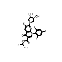 O=C(NC(C(F)(F)F)C(F)(F)F)c1cn(-c2c(F)cc(F)cc2F)c2nc(N3C[C@@H](O)[C@H](O)C3)c(F)cc2c1=O